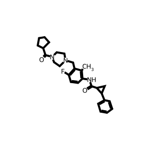 Cc1c(NC(=O)C2CC2c2ccccc2)ccc(F)c1CN1CCN(C(=O)C2CCCC2)CC1